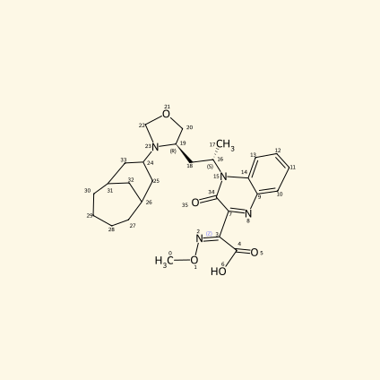 CO/N=C(\C(=O)O)c1nc2ccccc2n([C@@H](C)C[C@@H]2COCN2C2CC3CCCCC(C3)C2)c1=O